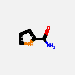 NC(=O)c1ccc[pH]1